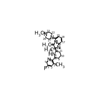 Cc1cc(F)cnc1[C@@H]1CCC[C@H]([C@]2(C)N=C3C=CC=C(N4CCN(C)CC4)N3C2C)N1